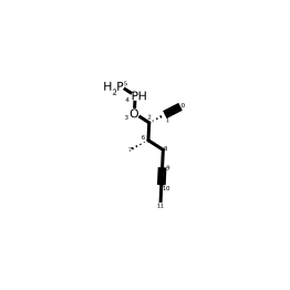 C#C[C@@H](OPP)[C@@H](C)CC#CC